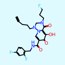 C#CCCCN1CN(CCCF)C(=O)c2c(O)c(=O)c(C(=O)NCc3ccc(F)cc3F)cn21